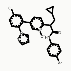 CC(=O)c1ccc(NC(=O)C(CC2CC2)c2ccc(-c3cc(Cl)ccc3-n3cccn3)c[n+]2[O-])cc1